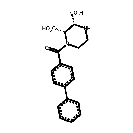 O=C(O)[C@@H]1[C@H](C(=O)O)NCCN1C(=O)c1ccc(-c2ccccc2)cc1